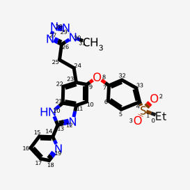 CCS(=O)(=O)c1ccc(Oc2cc3nc(-c4ccccn4)[nH]c3cc2CCc2nnnn2C)cc1